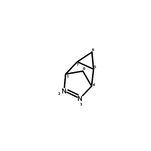 C1C2N=NC1C1CC21